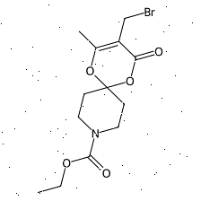 CCOC(=O)N1CCC2(CC1)OC(=O)C(CBr)=C(C)O2